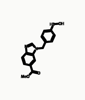 COC(=O)c1ccc2ncn(Cc3ccc(BO)cc3)c2c1